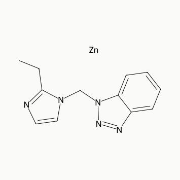 CCc1nccn1Cn1nnc2ccccc21.[Zn]